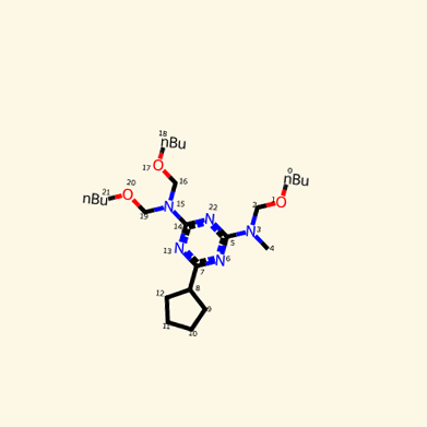 CCCCOCN(C)c1nc(C2CCCC2)nc(N(COCCCC)COCCCC)n1